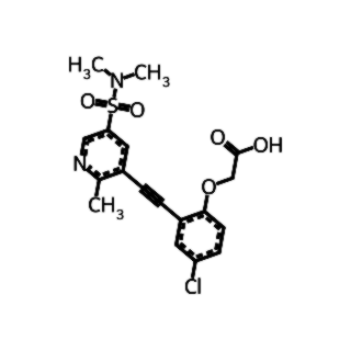 Cc1ncc(S(=O)(=O)N(C)C)cc1C#Cc1cc(Cl)ccc1OCC(=O)O